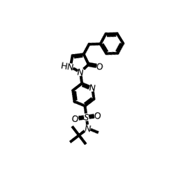 CN(C(C)(C)C)S(=O)(=O)c1ccc(-n2[nH]cc(Cc3ccccc3)c2=O)nc1